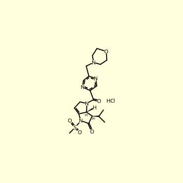 CC(C)[C@H]1C(=O)N(S(C)(=O)=O)C2=CCN(C(=O)c3cnc(CN4CCOCC4)cn3)[C@@H]21.Cl